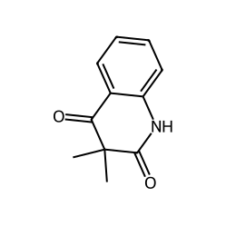 CC1(C)C(=O)Nc2ccccc2C1=O